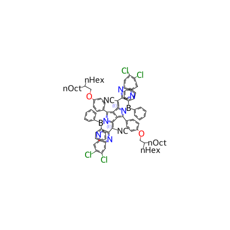 [C-]#[N+]/C(c1cnc2cc(Cl)c(Cl)cc2n1)=c1\c2c(-c3ccc(OCC(CCCCCC)CCCCCCCC)cc3)n(B(c3ccccc3)c3ccccc3)/c(=C(/C#N)c3cnc4cc(Cl)c(Cl)cc4n3)c2c(-c2ccc(OCC(CCCCCC)CCCCCCCC)cc2)n1B(c1ccccc1)c1ccccc1